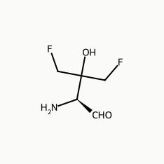 N[C@H](C=O)C(O)(CF)CF